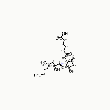 CCCC[C@H](C)C[C@H](O)/C=C/[C@@H]1[C@H](O)CC(=O)[C@@H]1CC(=O)CCCCC(=O)O